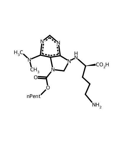 CCCCCOC(=O)N1CN(N[C@H](CCCN)C(=O)O)c2ncnc(N(C)C)c21